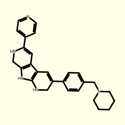 C1=C(c2ccc(CN3CCCCC3)cc2)CNc2[nH]c3c(c21)C=C(c1ccncc1)NC3